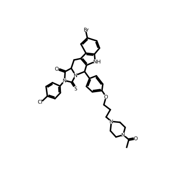 CC(=O)N1CCN(CCCOc2ccc(C3c4[nH]c5ccc(Br)cc5c4CC4C(=O)N(c5ccc(Cl)cc5)C(=S)N43)cc2)CC1